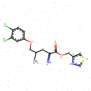 CC(COc1ccc(Cl)c(Cl)c1)CC(=N)C(=O)OCc1cscn1